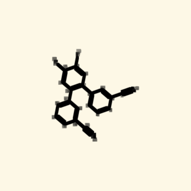 N#Cc1cccc(-c2cc(F)c(F)cc2-c2cccc(C#N)c2)c1